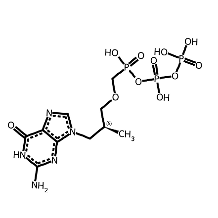 C[C@H](COCP(=O)(O)OP(=O)(O)OP(=O)(O)O)Cn1cnc2c(=O)[nH]c(N)nc21